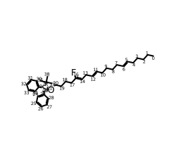 CCCCC/C=C/CCCC/C=C/C/C=C(\F)CCCCO[Si](c1ccccc1)(c1ccccc1)C(C)(C)C